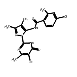 CCc1c(C)nc(-n2nc(C)c(C)c2NC(=O)c2ccc(Cl)cc2C(F)(F)F)[nH]c1=O